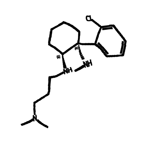 CN[C@@]1(c2ccccc2Cl)CCCC[C@@H]1NCCCN(C)C